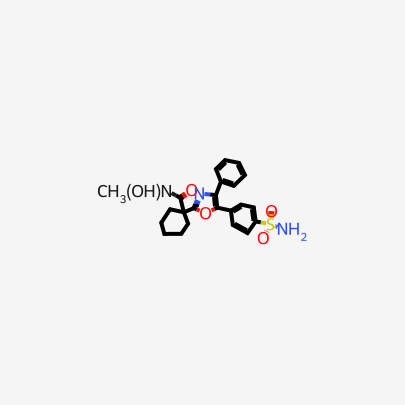 CN(O)C(=O)C1(c2nc(-c3ccccc3)c(-c3ccc(S(N)(=O)=O)cc3)o2)CCCCC1